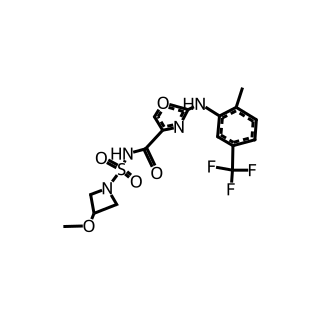 COC1CN(S(=O)(=O)NC(=O)c2coc(Nc3cc(C(F)(F)F)ccc3C)n2)C1